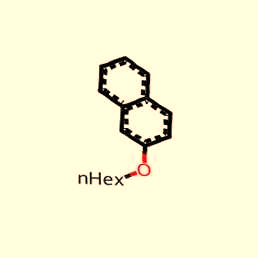 [CH2]CCCCCOc1ccc2ccccc2c1